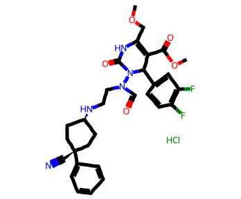 COCC1=C(C(=O)OC)C(c2ccc(F)c(F)c2)N(N(C=O)CCN[C@H]2CC[C@@](C#N)(c3ccccc3)CC2)C(=O)N1.Cl